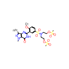 CCCc1nn(C)c2c(=O)[nH]c(-c3cc(S(=O)(=O)N(CCOS(C)(=O)=O)CCOS(C)(=O)=O)ccc3OCC)nc12